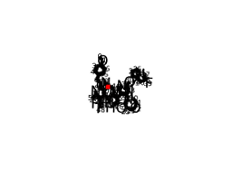 COc1ccc(Cn2ncc3c(-c4nccc5c6c(N7CCOC[C@@](C)(O)C7)nc(OC[C@@]78CCCN7C[C@H](F)C8)nc6n(C)c45)c(C(F)(F)F)c(C)nc32)cc1